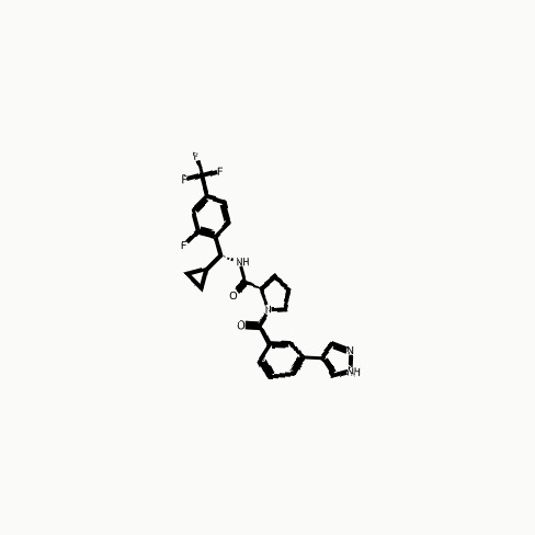 O=C(N[C@@H](c1ccc(C(F)(F)F)cc1F)C1CC1)[C@H]1CCCN1C(=O)c1cccc(-c2cn[nH]c2)c1